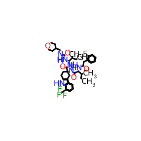 CCC(C)[C@@H](NC(=O)NCC1CCOCC1)NC(=O)[C@@]1(NC(=O)[C@@H](NC(=O)Cc2ccccc2F)C(C)CC)CCc2[nH]c3c(C(F)(F)F)cccc3c2C1